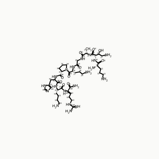 C[C@H](NC(=O)[C@@H](NC(=O)[C@@H](N)CCCN)[C@@H](O)CN)C(=O)NCC(=O)N[C@H](CCCN)C(=O)N1CCC[C@H]1C(=O)NC(Cc1cnc[nH]1)C(=O)N[C@@H](CCCCN)C(=O)N/C(=C\CCNC(=N)N)C(N)=O